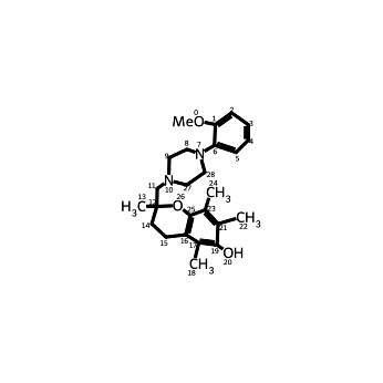 COc1ccccc1N1CCN(CC2(C)CCc3c(C)c(O)c(C)c(C)c3O2)CC1